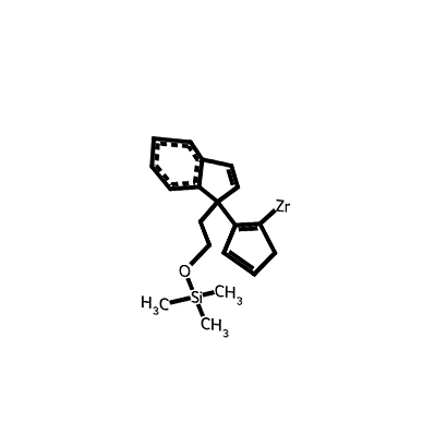 C[Si](C)(C)OCCC1(C2=[C]([Zr])CC=C2)C=Cc2ccccc21